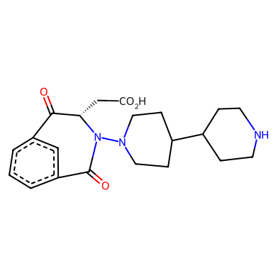 O=C(O)C[C@H]1C(=O)c2cccc(c2)C(=O)N1N1CCC(C2CCNCC2)CC1